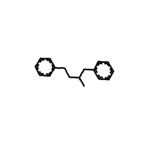 C[C](CCc1ccccc1)Cc1ccccc1